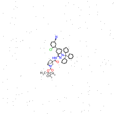 CC(C)(C)OC(=O)N1CC2(C(=O)Nc3nn(C(c4ccccc4)(c4ccccc4)c4ccccc4)c4ccc(-c5cc(C#N)ccc5Cl)cc34)CCC1CC2